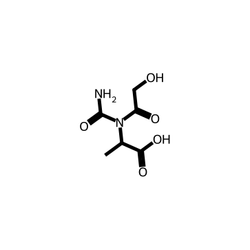 CC(C(=O)O)N(C(N)=O)C(=O)CO